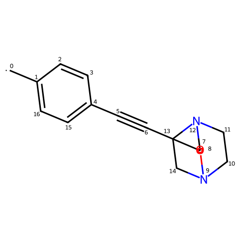 [CH2]c1ccc(C#CC2ON3CCN2CC3)cc1